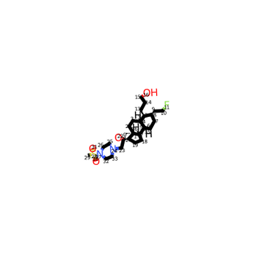 C[C@]12CC[C@H]3[C@@H](CC[C@H](CCF)[C@@H]3CCCO)[C@@H]1CC[C@@H]2C(=O)CN1CCN(S(C)(=O)=O)CC1